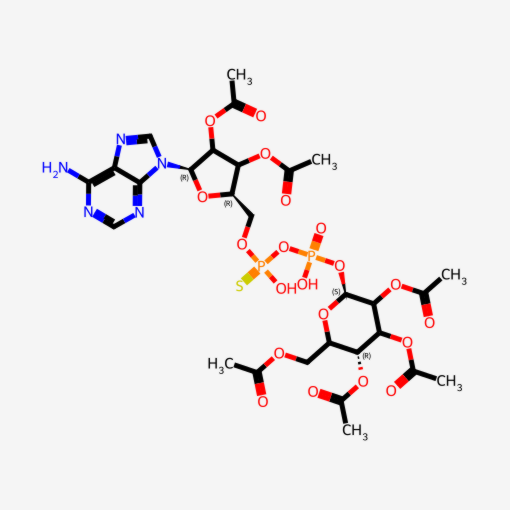 CC(=O)OCC1O[C@@H](OP(=O)(O)OP(O)(=S)OC[C@H]2O[C@@H](n3cnc4c(N)ncnc43)C(OC(C)=O)C2OC(C)=O)C(OC(C)=O)C(OC(C)=O)[C@@H]1OC(C)=O